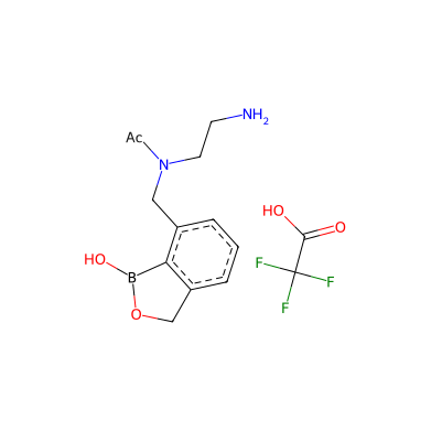 CC(=O)N(CCN)Cc1cccc2c1B(O)OC2.O=C(O)C(F)(F)F